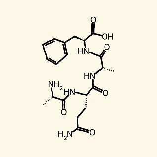 C[C@H](N)C(=O)N[C@@H](CCC(N)=O)C(=O)N[C@@H](C)C(=O)N[C@@H](Cc1ccccc1)C(=O)O